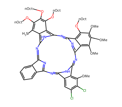 CCCCCCCCOc1c(OC)c(OC)c(OC)c2c1-c1nc-2nc2[nH]c(nc3nc(nc4[nH]c(n1)c1c(OCCCCCCCC)c(OCCCCCCCC)c(OCCCCCCCC)c([SiH3])c41)-c1ccccc1-3)c1cc(Cl)c(Cl)c(OC)c21